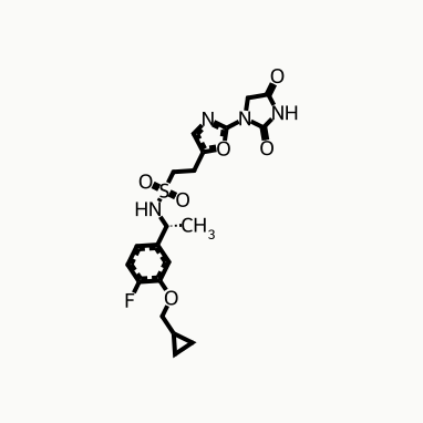 C[C@@H](NS(=O)(=O)CCc1cnc(N2CC(=O)NC2=O)o1)c1ccc(F)c(OCC2CC2)c1